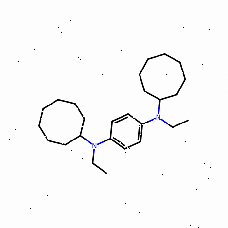 CCN(c1ccc(N(CC)C2CCCCCCC2)cc1)C1CCCCCCC1